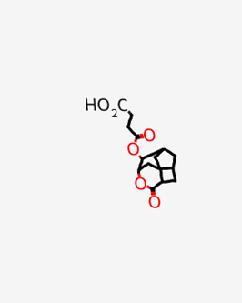 O=C(O)CCC(=O)OC1C2CC3CC4C(=O)OC1CC34C2